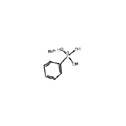 O[PH](O)(O)c1ccccc1.[NaH]